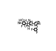 C[C@]1(c2cc(O)c(C#N)c(F)c2)C(=O)Nc2nc(-c3cn4ccnc4c(Cc4cc(F)cc(F)c4)n3)nc(N)c21